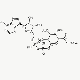 CC(=O)OC[C@H](F)C1O[C@@H](OP(=O)(O)OP(=O)(O)OC[C@H]2O[C@@H](n3cnc4c(N)ncnc43)C(O)C2O)C(OC(C)=O)C(OC(C)=O)[C@@H]1OC(C)=O